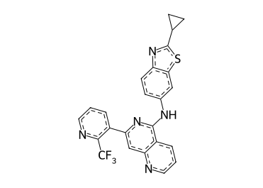 FC(F)(F)c1ncccc1-c1cc2ncccc2c(Nc2ccc3nc(C4CC4)sc3c2)n1